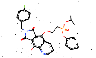 CCOC(=O)C(C)OP(=O)(CCOc1c2c(c(O)c3ncccc13)C(=O)N(Cc1ccc(F)cc1)C2=O)Oc1ccccc1